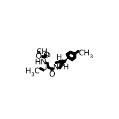 CCC[C@H](CNC(=O)OC)C(=O)N1C[C@@H]2[C@H](C1)[C@H]2c1ccc(CC)cc1